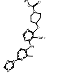 COc1c(Nc2ccc(-n3cncn3)nc2C)ncnc1OC1CCN(C(=O)OC(C)C)CC1